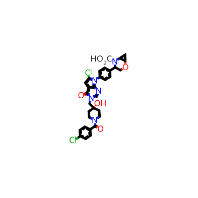 O=C(c1ccc(Cl)cc1)N1CCC(O)(Cn2cnc3c(cc(Cl)n3-c3ccc(C4COC5CC5N4C(=O)O)cc3)c2=O)CC1